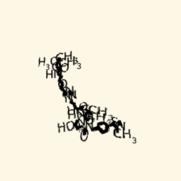 Cc1ncsc1-c1ccc(CNC(=O)[C@@H]2C[C@@H](O)CN2C(=O)[C@@H](NC(=O)CCCn2cc(COCCNC(=O)OC(C)(C)C)nn2)C(C)(C)C)cc1